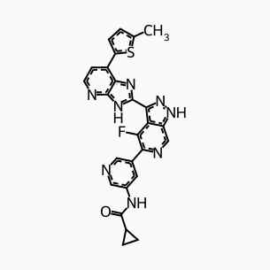 Cc1ccc(-c2ccnc3[nH]c(-c4n[nH]c5cnc(-c6cncc(NC(=O)C7CC7)c6)c(F)c45)nc23)s1